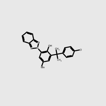 CC(C)(C)c1cc(-n2nc3ccccc3n2)c(O)c(C(C)(C)c2ccc(Cl)cc2)c1